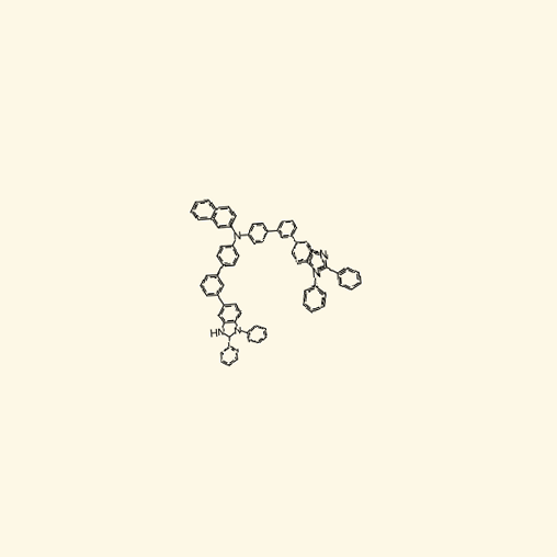 c1ccc(-c2nc3cc(-c4cccc(-c5ccc(N(c6ccc(-c7cccc(-c8ccc9c(c8)NC(c8ccccc8)N9c8ccccc8)c7)cc6)c6ccc7ccccc7c6)cc5)c4)ccc3n2-c2ccccc2)cc1